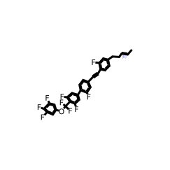 C/C=C/CCc1ccc(C#Cc2ccc(-c3cc(F)c(C(F)(F)Oc4cc(F)c(F)c(F)c4)c(F)c3)c(F)c2)c(F)c1